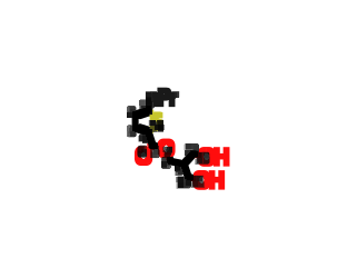 CCCc1ccc(C(=O)OCC(CO)CO)s1